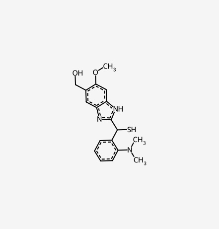 COc1cc2[nH]c(C(S)c3ccccc3N(C)C)nc2cc1CO